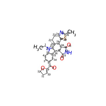 CCn1c2ccc(C(=O)C3=CCCO3)cc2c2c3c(c4c(c21)CCc1nc(C)sc1-4)C(=O)NC3=O